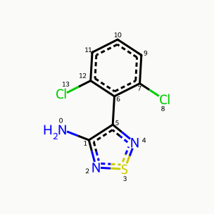 Nc1nsnc1-c1c(Cl)cccc1Cl